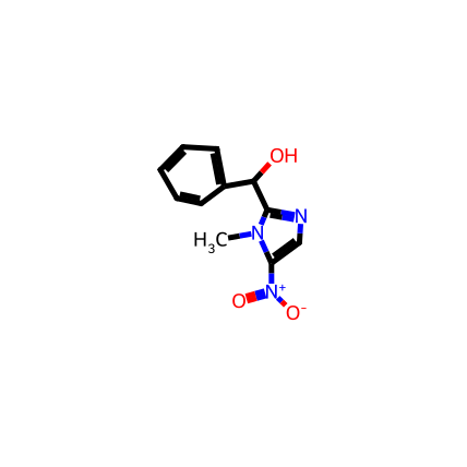 Cn1c([N+](=O)[O-])cnc1C(O)c1ccccc1